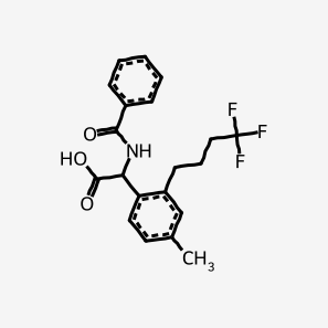 Cc1ccc(C(NC(=O)c2ccccc2)C(=O)O)c(CCCC(F)(F)F)c1